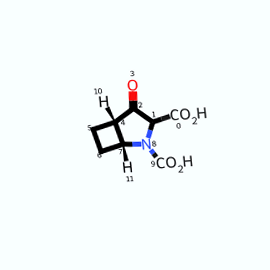 O=C(O)C1C(=O)[C@H]2CC[C@H]2N1C(=O)O